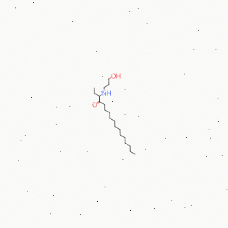 CCCCCCCCCCCCCC(=O)C(CC)NCCCO